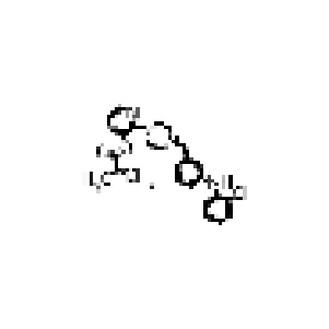 CC(C)C(=O)Oc1cccnc1N1CCN(Cc2cccc(Nc3ccccc3Cl)c2)CC1